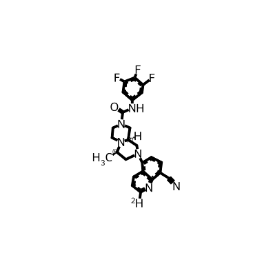 [2H]c1ccc2c(N3C[C@@H]4CN(C(=O)Nc5cc(F)c(F)c(F)c5)CCN4[C@H](C)C3)ccc(C#N)c2n1